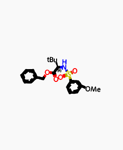 COc1cccc(S(=O)(=O)N[C@@H](C(=O)OCc2ccccc2)C(C)(C)C)c1